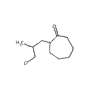 CC(CCl)CN1CCCCCC1=O